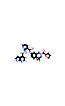 CC1(C)CN(C(=O)C2CCCO2)Cc2cc(NC(=O)c3cccnc3NCc3ccnc4[nH]ccc34)ccc21